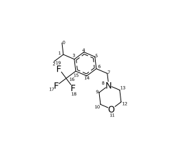 CC(C)c1ccc(CN2CCOCC2)cc1C(F)(F)F